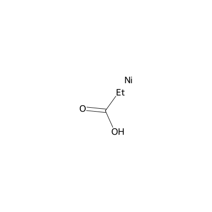 CCC(=O)O.[Ni]